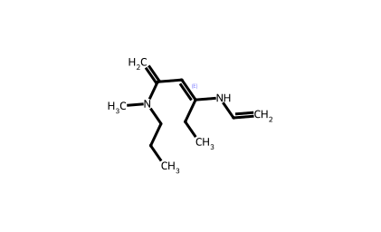 C=CN/C(=C/C(=C)N(C)CCC)CC